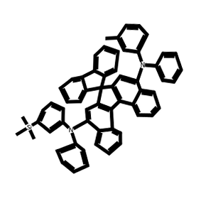 Cc1cccc(N(c2ccccc2)c2cc3c(c4ccccc24)-c2c(cc(N(c4ccccc4)c4cccc([Si](C)(C)C)c4)c4ccccc24)C32c3ccccc3-c3ccccc32)c1